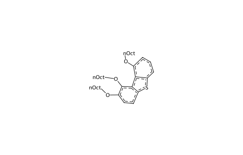 CCCCCCCCOc1ccc2sc3cccc(OCCCCCCCC)c3c2c1OCCCCCCCC